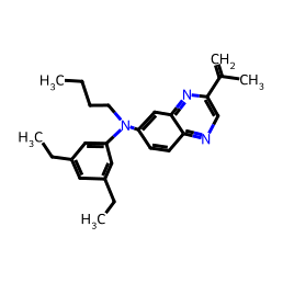 C=C(C)c1cnc2ccc(N(CCCC)c3cc(CC)cc(CC)c3)cc2n1